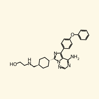 Nc1ncnn2c1c(-c1ccc(Oc3ccccc3)cc1)nc2[C@H]1CC[C@H](CNCCO)CC1